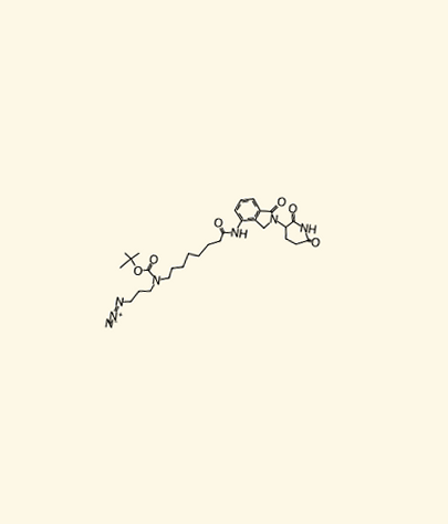 CC(C)(C)OC(=O)N(CCCCCCCC(=O)Nc1cccc2c1CN(C1CCC(=O)NC1=O)C2=O)CCCN=[N+]=[N-]